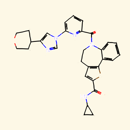 O=C(NC1CC1)c1cc2c(s1)-c1ccccc1N(C(=O)c1cccc(-n3cnc(C4CCOCC4)c3)n1)CC2